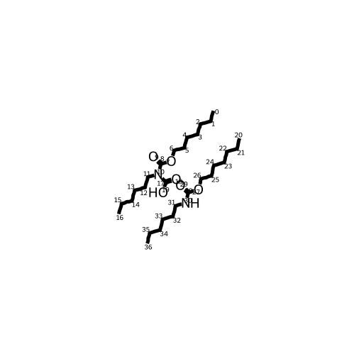 CCCCCCCOC(=O)N(CCCCCC)C(=O)O.CCCCCCCOC(=O)NCCCCCC